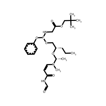 CCC[C@@H](COP(NCC(=O)OCC(C)(C)C)Oc1ccccc1)O[C@H](C)N(C)/C=C\C(=O)NC=O